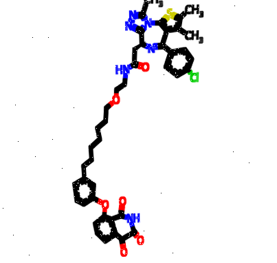 Cc1sc2c(c1C)C(c1ccc(Cl)cc1)=N[C@@H](CC(=O)NCCOCCCCCCCc1cccc(Oc3cccc4c3C(=O)NC(=O)C4=O)c1)c1nnc(C)n1-2